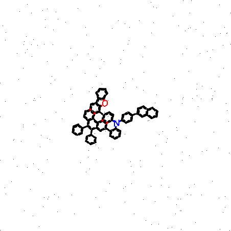 c1ccc(-c2c(-c3ccccc3)c3cc(-c4ccccc4N(c4ccc(-c5ccc6ccccc6c5)cc4)c4ccc(-c5cccc6c5oc5ccccc56)cc4)ccc3c3ccccc23)cc1